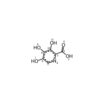 O=C(O)c1ncc(O)c(O)c1O